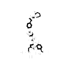 CC(C)Cc1cc(NC(=O)Nc2cnc(Oc3ccc(-c4cnc(N5CCCCC5=O)s4)cc3)nc2)n(-c2cccc(C(C)C)c2)n1